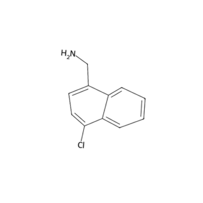 NCc1ccc(Cl)c2ccccc12